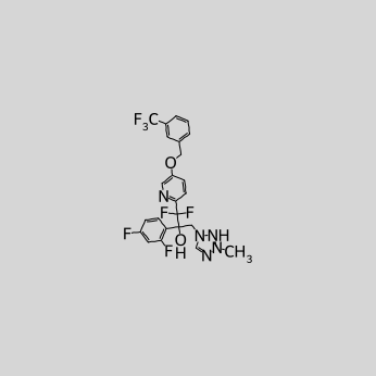 CN1N=CN(CC(O)(c2ccc(F)cc2F)C(F)(F)c2ccc(OCc3cccc(C(F)(F)F)c3)cn2)N1